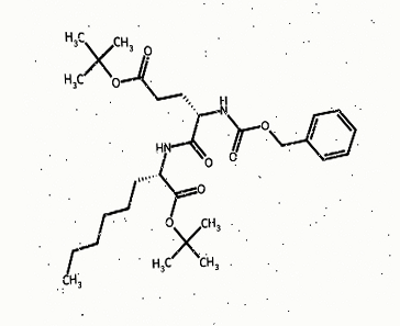 CCCCCC[C@H](NC(=O)[C@H](CCC(=O)OC(C)(C)C)NC(=O)OCc1ccccc1)C(=O)OC(C)(C)C